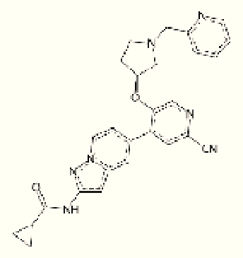 N#Cc1cc(-c2ccn3nc(NC(=O)C4CC4)cc3c2)c(O[C@H]2CCN(Cc3ccccn3)C2)cn1